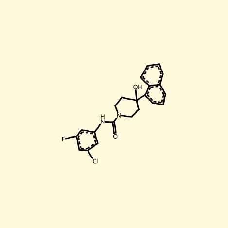 O=C(Nc1cc(F)cc(Cl)c1)N1CCC(O)(c2cccc3ccccc23)CC1